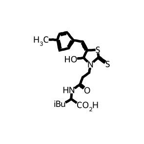 CCC(C)C(NC(=O)CCN1C(=S)S/C(=C/c2ccc(C)cc2)C1O)C(=O)O